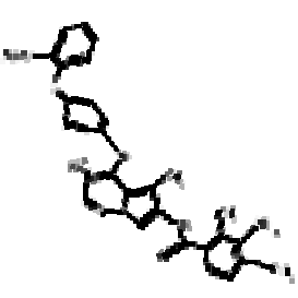 COc1ccccc1Oc1ccc(Nc2c(C#N)cnn3cc(NC(=O)c4ccc(C)c(N)c4C)c(C)c23)cc1